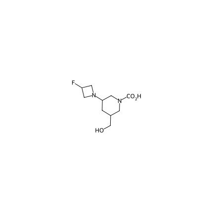 O=C(O)N1CC(CO)CC(N2CC(F)C2)C1